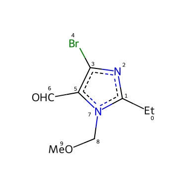 CCc1nc(Br)c(C=O)n1COC